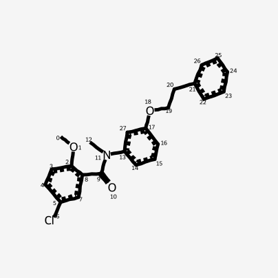 COc1ccc(Cl)cc1C(=O)N(C)c1cccc(OCCc2ccccc2)c1